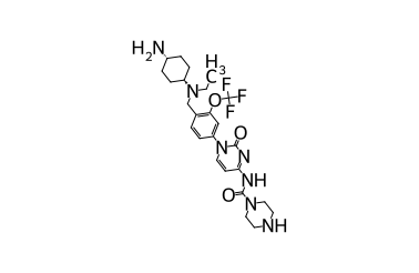 CCN(Cc1ccc(-n2ccc(NC(=O)N3CCNCC3)nc2=O)cc1OC(F)(F)F)[C@H]1CC[C@H](N)CC1